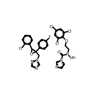 CCCN(CCOc1c(Cl)cc(Cl)cc1Cl)C(=O)n1ccnc1.Fc1ccc(C2(Cn3cncn3)OC2c2ccccc2Cl)cc1